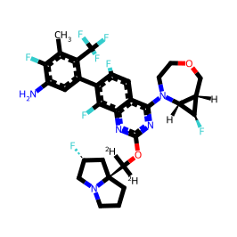 [2H]C([2H])(Oc1nc(N2CCOC[C@@H]3[C@@H](F)[C@@H]32)c2cc(F)c(-c3cc(N)c(F)c(C)c3C(F)(F)F)c(F)c2n1)[C@@]12CCCN1C[C@H](F)C2